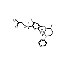 C[C@H]1CC[C@H](c2ccccc2)S(=O)(=O)N1Cc1cc(F)c(C(C)(C)OCC(N)=O)cc1F